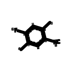 [C-]#[N+]c1cc(C)c(F)cc1C